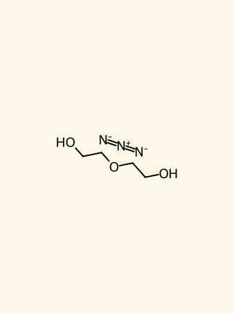 OCCOCCO.[N-]=[N+]=[N-]